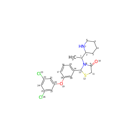 CC(C1CCCCN1)N1C(=O)CSC1c1cccc(Oc2cc(Cl)cc(Cl)c2)c1